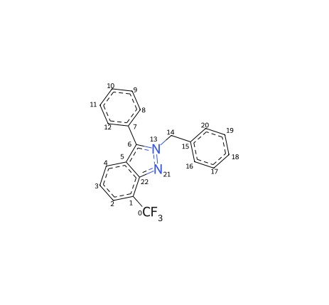 FC(F)(F)c1cccc2c(-c3ccccc3)n(Cc3ccccc3)nc12